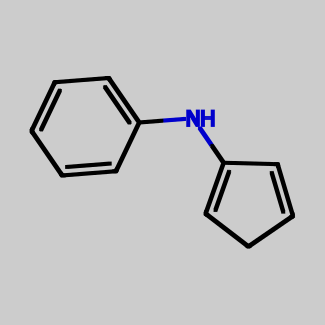 C1=CC(Nc2ccccc2)=CC1